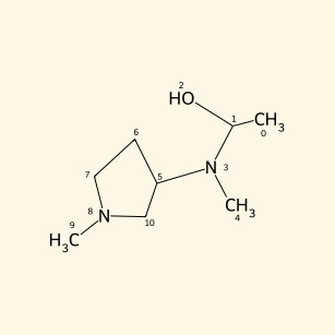 CC(O)N(C)C1CCN(C)C1